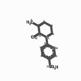 CC1CCCN(c2ccc(S(=O)(=O)O)cn2)C1Cl